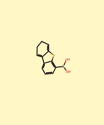 OB(O)c1cccc2c3c(sc12)=CCCC=3